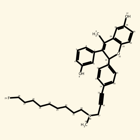 CC1=C(c2cccc(O)c2)C(c2ccc(C#CCN(C)CCCCCCCCCF)cc2)Oc2ccc(O)cc21